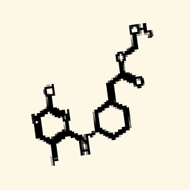 CCOC(=O)C=C1CCC[C@H](Nc2nc(Cl)ncc2F)C1